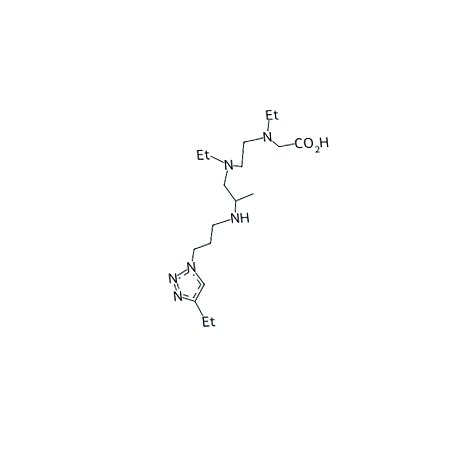 CCc1cn(CCCNC(C)CN(CC)CCN(CC)CC(=O)O)nn1